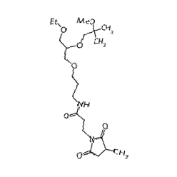 CCOCC(COCCCNC(=O)CCN1C(=O)CC(C)C1=O)OCC(C)(C)OC